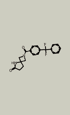 O=C1CCC2(CN(C(=O)c3ccc(C(F)(F)c4ccccc4)cc3)C2)N1